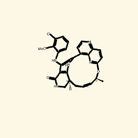 COc1c(Cl)cccc1Nc1c2[nH]c3c1C(=O)NC[C@@H]3C/C=C\[C@H](C)Oc1ccc3nccc-2c3n1